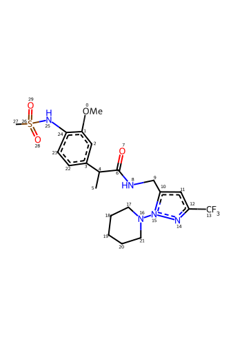 COc1cc(C(C)C(=O)NCc2cc(C(F)(F)F)nn2N2CCCCC2)ccc1NS(C)(=O)=O